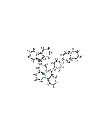 c1ccc(-c2ccccc2N(c2ccc(-c3ccc4ccccc4c3)cc2)c2cccc(-n3c4ccccc4c4ccccc43)c2)cc1